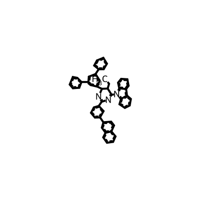 CCC1C(n2c3ccccc3c3ccccc32)=NC(c2cccc(-c3ccc4ccccc4c3)c2)=NC1c1cc(-c2ccccc2)cc(-c2ccccc2)c1